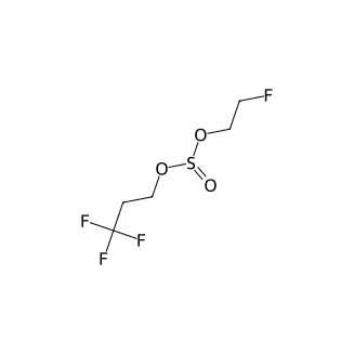 O=S(OCCF)OCCC(F)(F)F